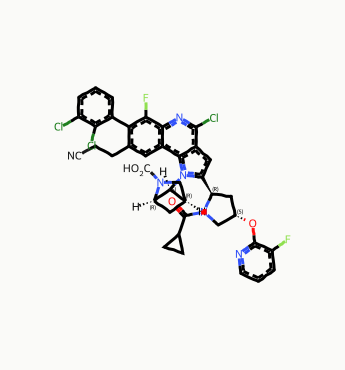 N#CCCc1cc2c(nc(Cl)c3cc([C@H]4C[C@H](Oc5ncccc5F)CN4C(=O)C4CC4)n([C@H]4[C@@H]5C[C@H]4N(C(=O)O)C5)c32)c(F)c1-c1cccc(Cl)c1Cl